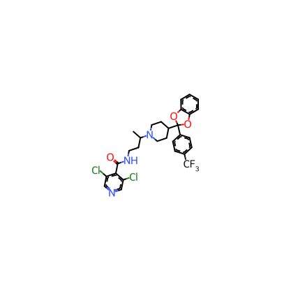 CC(CCNC(=O)c1c(Cl)cncc1Cl)N1CCC(C2(c3ccc(C(F)(F)F)cc3)Oc3ccccc3O2)CC1